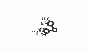 Cc1ccc(C2=CCC=C2c2cc(F)c(S(C)(=O)=O)c(F)c2)cc1Br